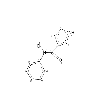 O=C(c1nc[nH]n1)N(Cl)c1ccccc1